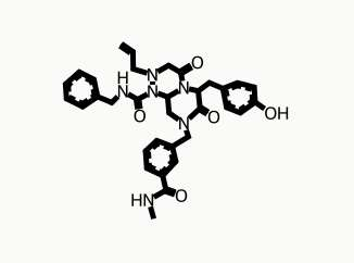 C=CCN1CC(=O)N2C(Cc3ccc(O)cc3)C(=O)N(Cc3cccc(C(=O)NC)c3)CC2N1C(=O)NCc1ccccc1